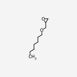 CCCCCCCOCC1CO1